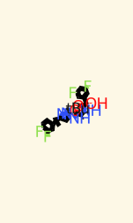 C[C@H](NC(=O)[C@@H](O)c1cc(F)cc(F)c1)C(=O)Nc1cc(C(C)(C)c2ccc(F)c(F)c2)nn1C(C)(C)C